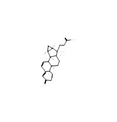 C[C@]12CCC(=O)C=C1C=C[C@H]1[C@@H]3[C@@H]4C[C@@H]4[C@@](O)(CCC(=O)O)[C@@]3(C)CC[C@@H]12